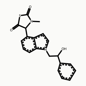 CN1C(=O)SC(=O)C1c1cccc2c1ccn2CC(O)c1ccccc1